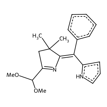 COC(OC)C1=NC(=C(c2ccccc2)c2ccc[nH]2)C(C)(C)C1